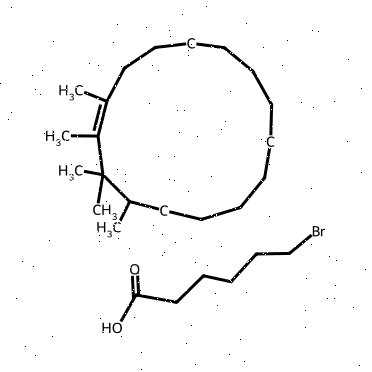 CC1=C(C)C(C)(C)C(C)CCCCCCCCCCC1.O=C(O)CCCCCBr